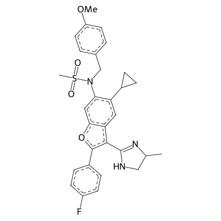 COc1ccc(CN(c2cc3oc(-c4ccc(F)cc4)c(C4=NC(C)CN4)c3cc2C2CC2)S(C)(=O)=O)cc1